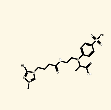 CC(C(=O)O)N(CCNC(=O)CCCn1c[n+](C)nc1S)c1ccc(S(=O)(=O)O)cc1